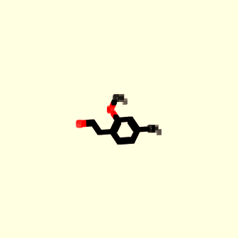 COc1cc(C)ccc1CC=O